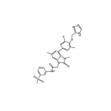 Cc1cc(-c2cc(C)c(OCc3nnc[nH]3)c(F)c2)c2c(c1)n(CC(=O)Nc1cccc(S(C)(=O)=O)c1)c(=O)n2C